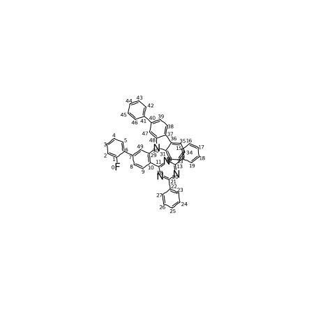 Fc1ccccc1-c1ccc(-c2nc(-c3ccccc3)nc(-c3ccccc3)n2)c(-n2c3ccccc3c3ccc(-c4ccccc4)cc32)c1